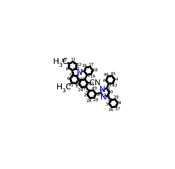 Cc1ccc2c(c1)c1cc(C)ccc1n2-c1ccccc1-c1cccc(-c2cccc(-c3nc(-c4ccccc4)cc(-c4ccccc4)n3)c2)c1C#N